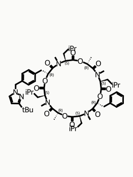 CC(C)C[C@H]1C(=O)O[C@H](Cc2ccc(Cn3ccc(C(C)(C)C)n3)cc2)C(=O)N(C)[C@@H](CC(C)C)C(=O)O[C@H](C)C(=O)N(C)[C@@H](CC(C)C)C(=O)O[C@H](Cc2ccccc2)C(=O)N(C)[C@@H](CC(C)C)C(=O)O[C@H](C)C(=O)N1C